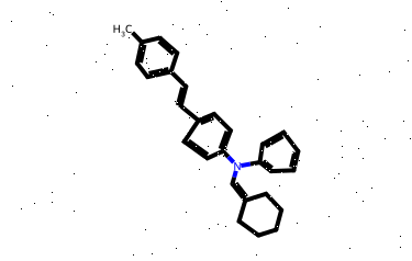 Cc1ccc(C=Cc2ccc(N(C=C3CCCCC3)c3ccccc3)cc2)cc1